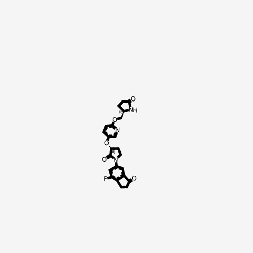 O=C1CC[C@H](COc2ccc(O[C@@H]3CCN(c4cc(F)c5c(c4)C(=O)CC5)C3=O)cn2)N1